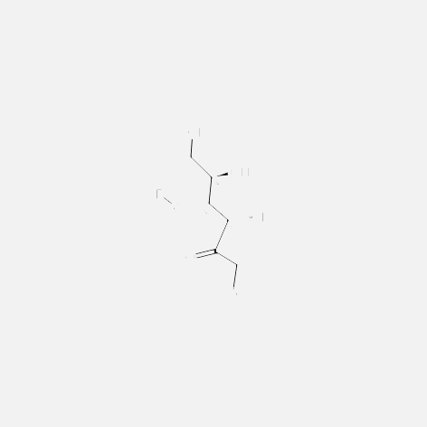 O=C(CO)[C@@H](O)[C@H](OF)[C@H](O)CO